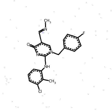 C/N=C/c1cn(Cc2ccc(F)cc2)c(Nc2cccc(Cl)c2C)nc1=O